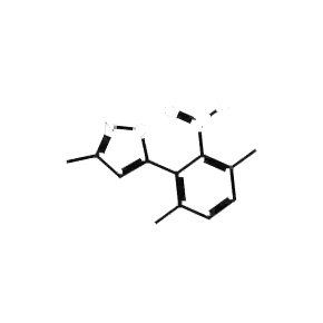 Cc1cc(-c2c(C)ccc(C)c2[N+](=O)[O-])on1